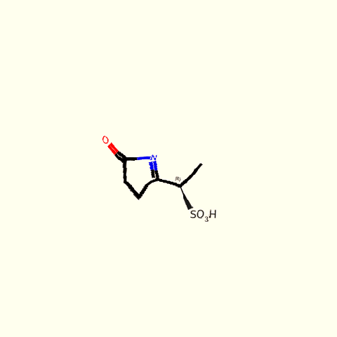 C[C@H](C1=NC(=O)CC1)S(=O)(=O)O